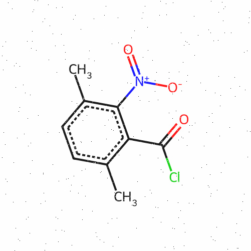 Cc1ccc(C)c([N+](=O)[O-])c1C(=O)Cl